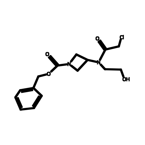 O=C(OCc1ccccc1)N1CC(N(CCO)C(=O)CCl)C1